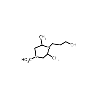 CC1CN(C(=O)O)CC(C)N1CCCO